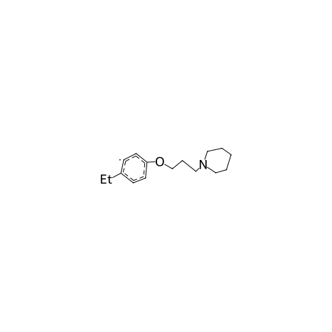 CCc1[c]cc(OCCCN2CCCCC2)cc1